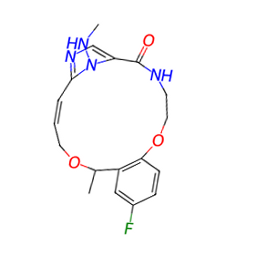 CNn1c2cnc1/C=C\COC(C)c1cc(F)ccc1OCCNC2=O